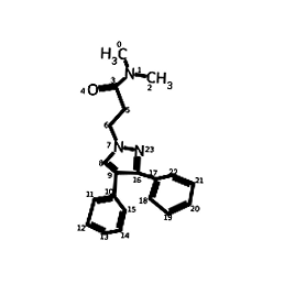 CN(C)C(=O)CCn1cc(-c2ccccc2)c(-c2ccccc2)n1